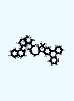 CC1(C)C2=C(CC/C=C(n3c4ccccc4c4c5ccccc5ccc43)\C(c3cccnc3)=N/2)c2cc(-c3cccnc3)c(-c3ccccc3)cc21